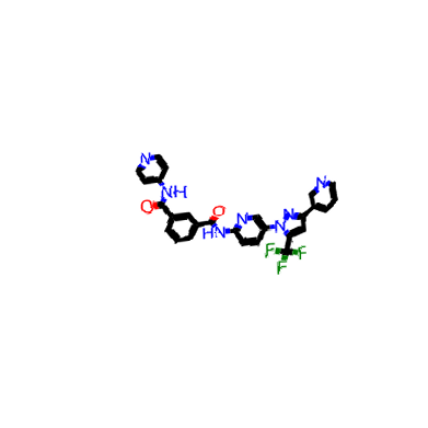 O=C(Nc1ccncc1)c1cccc(C(=O)Nc2ccc(-n3nc(-c4cccnc4)cc3C(F)(F)F)cn2)c1